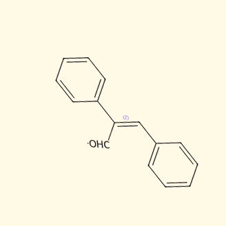 O=[C]/C(=C\c1ccccc1)c1ccccc1